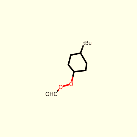 CC(C)(C)C1CCC(OOC=O)CC1